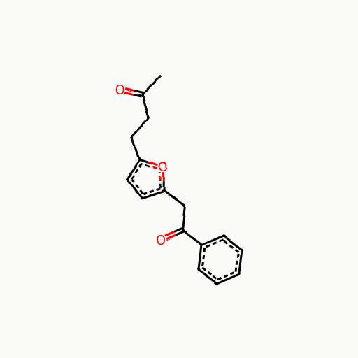 CC(=O)CCc1ccc(CC(=O)c2ccccc2)o1